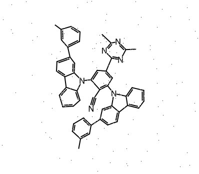 Cc1cccc(-c2ccc3c4ccccc4n(-c4cc(-c5nc(C)nc(C)n5)cc(-n5c6ccccc6c6ccc(-c7cccc(C)c7)cc65)c4C#N)c3c2)c1